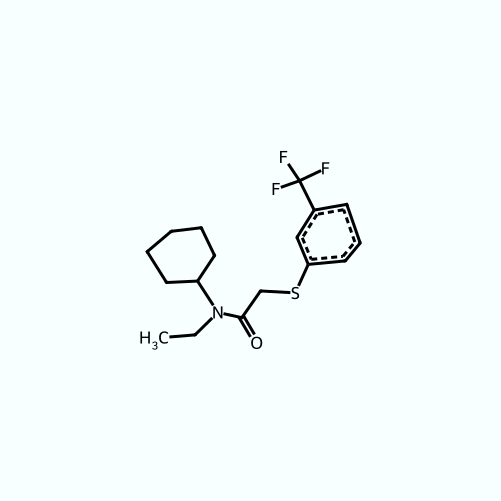 CCN(C(=O)CSc1cccc(C(F)(F)F)c1)C1CCCCC1